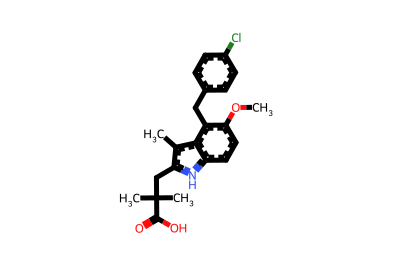 COc1ccc2[nH]c(CC(C)(C)C(=O)O)c(C)c2c1Cc1ccc(Cl)cc1